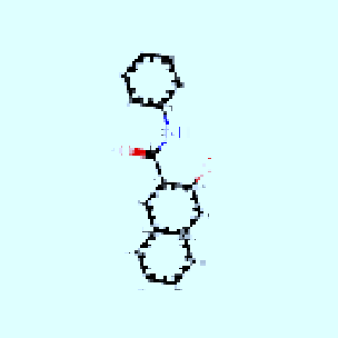 O=C(Nc1ccccc1)c1cc2ccccc2[c]c1O